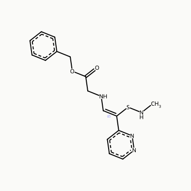 CNS/C(=C\NCC(=O)OCc1ccccc1)c1cccnn1